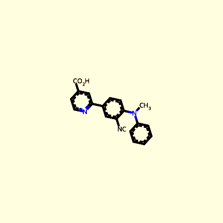 [C-]#[N+]c1cc(-c2cc(C(=O)O)ccn2)ccc1N(C)c1ccccc1